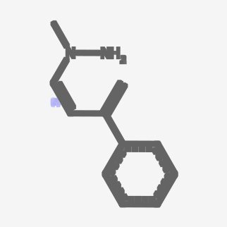 C=C(/C=C\N(C)N)c1ccccc1